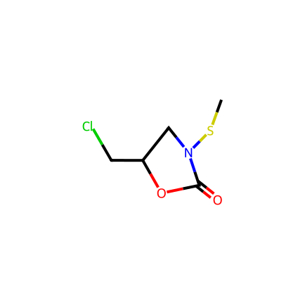 CSN1CC(CCl)OC1=O